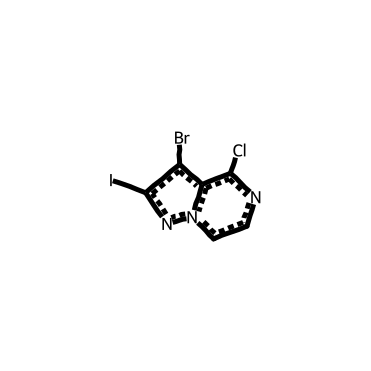 Clc1nccn2nc(I)c(Br)c12